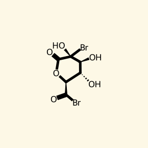 O=C(Br)[C@H]1OC(=O)[C@](O)(Br)[C@@H](O)[C@@H]1O